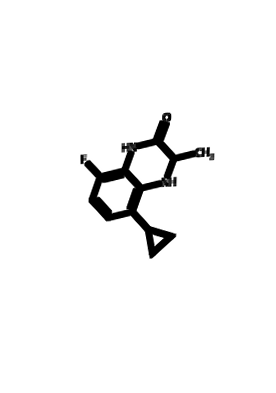 CC1Nc2c(C3CC3)ccc(F)c2NC1=O